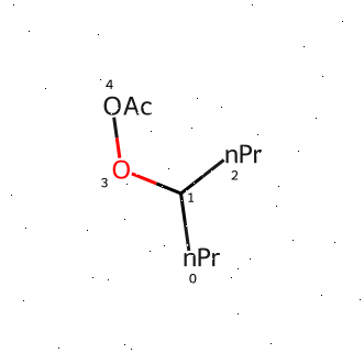 CCCC(CCC)OOC(C)=O